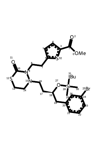 COC(=O)c1ccc(CCN2C(=O)SCCN2CC[C@H](Cc2cccc(Br)c2)O[Si](C)(C)C(C)(C)C)s1